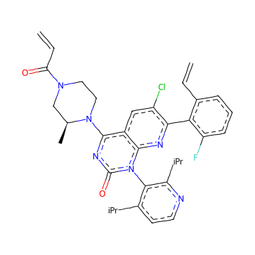 C=CC(=O)N1CCN(c2nc(=O)n(-c3c(C(C)C)ccnc3C(C)C)c3nc(-c4c(F)cccc4C=C)c(Cl)cc23)[C@@H](C)C1